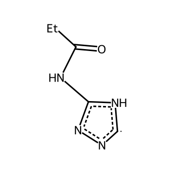 CCC(=O)Nc1nn[c][nH]1